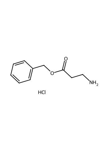 Cl.NCCC(=O)OCc1ccccc1